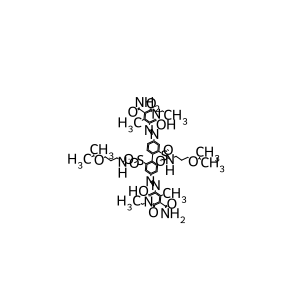 CCn1c(O)c(N=Nc2ccc(-c3ccc(N=Nc4c(C)c(C(N)=O)c(=O)n(CC)c4O)cc3S(=O)(=O)NCCCOC(C)C)c(SOONCCCOC(C)C)c2)c(C)c(C(N)=O)c1=O